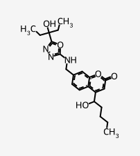 CCCCC(O)c1cc(=O)oc2cc(CNc3nnc(C(O)(CC)CC)o3)ccc12